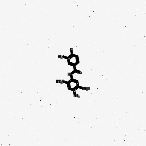 Nc1cc(S(=O)(=O)O)c(NC(=O)c2ccc(Cl)c([N+](=O)[O-])c2)cc1S(=O)(=O)O